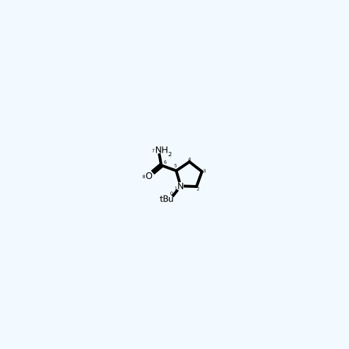 CC(C)(C)N1CCCC1C(N)=O